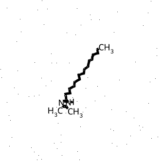 CCCCCCCCCCCCCCCCc1nc(C)c(C)n1I